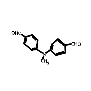 CN(c1ccc(C=O)cc1)c1ccc(C=O)cc1